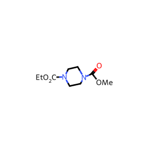 CCOC(=O)N1CCN(C(=O)OC)CC1